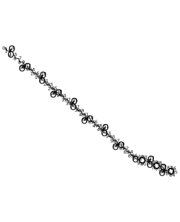 C=CC(=O)OCCCCCC(=O)OCCCCCC(=O)OCCCCCC(=O)OCCCCCC(=O)OCCCCCC(=O)OCCCCCC(=O)OCCCCCC(=O)OCCCCCCOc1ccc(C(=O)Oc2ccc(OC(=O)c3ccccc3)cc2)cc1